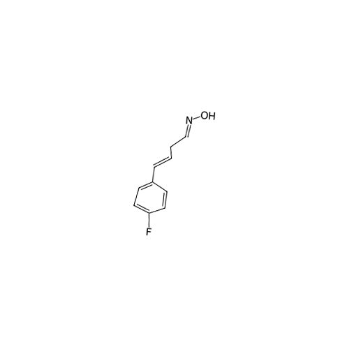 ON=CCC=Cc1ccc(F)cc1